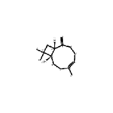 C=C1CC/C=C(/C)CC[C@H]2[C@@H]1CC2(C)C